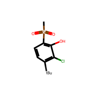 CC(C)(C)c1ccc(S(C)(=O)=O)c(O)c1Cl